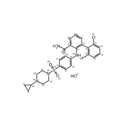 Cl.NC(=O)c1nncc(-c2c(F)cccc2Cl)c1Nc1ccc(S(=O)(=O)N2CCN(C3CC3)CC2)cc1